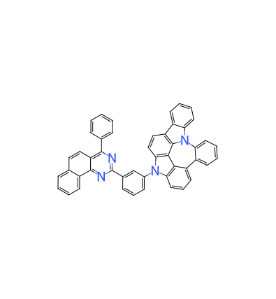 c1ccc(-c2nc(-c3cccc(-n4c5cccc6c7ccccc7n7c8ccccc8c8ccc4c(c65)c87)c3)nc3c2ccc2ccccc23)cc1